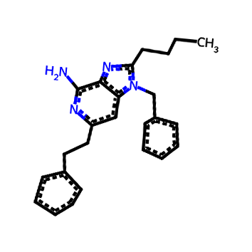 CCCCc1nc2c(N)nc(CCc3ccccc3)cc2n1Cc1ccccc1